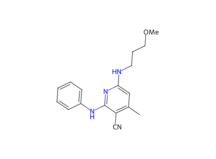 COCCCNc1cc(C)c(C#N)c(Nc2ccccc2)n1